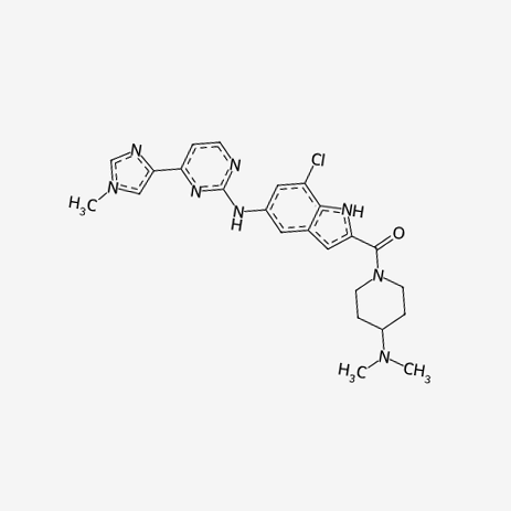 CN(C)C1CCN(C(=O)c2cc3cc(Nc4nccc(-c5cn(C)cn5)n4)cc(Cl)c3[nH]2)CC1